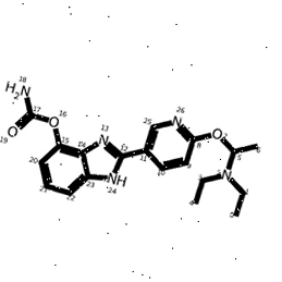 CCN(CC)C(C)Oc1ccc(-c2nc3c(OC(N)=O)cccc3[nH]2)cn1